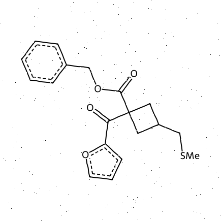 CSCC1CC(C(=O)OCc2ccccc2)(C(=O)c2ccco2)C1